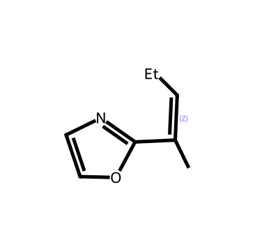 [CH2]C/C=C(/C)c1ncco1